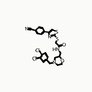 N#Cc1ccc(-c2csc(SCC(=O)NCC3CN(Cc4ccc(Cl)c(Cl)c4)CCO3)n2)cc1